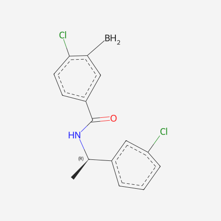 Bc1cc(C(=O)N[C@H](C)c2cccc(Cl)c2)ccc1Cl